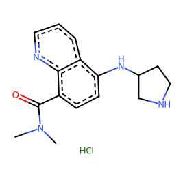 CN(C)C(=O)c1ccc(NC2CCNC2)c2cccnc12.Cl